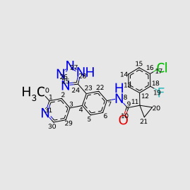 Cc1cc(-c2ccc(NC(=O)C3(c4cccc(Cl)c4F)CC3)cc2-c2nnn[nH]2)ccn1